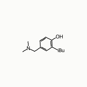 CCC(C)c1cc(CN(C)C)ccc1O